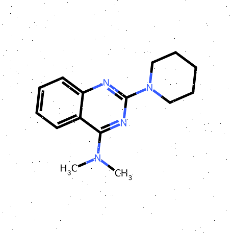 CN(C)c1nc(N2CCCCC2)nc2ccccc12